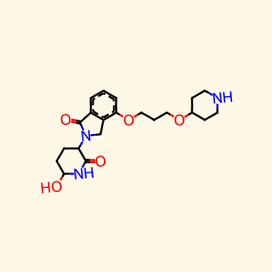 O=C1NC(O)CCC1N1Cc2c(OCCCOC3CCNCC3)cccc2C1=O